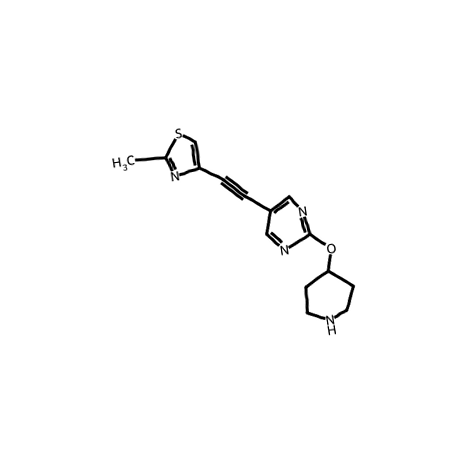 Cc1nc(C#Cc2cnc(OC3CCNCC3)nc2)cs1